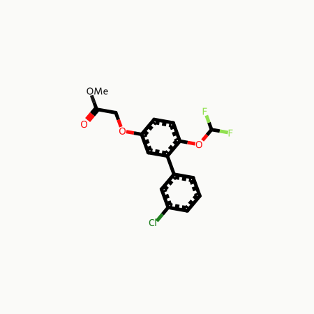 COC(=O)COc1ccc(OC(F)F)c(-c2cccc(Cl)c2)c1